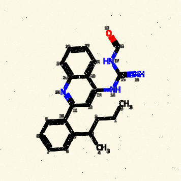 CCCC(C)c1ccccc1-c1cc(NC(=N)NC=O)c2ccccc2n1